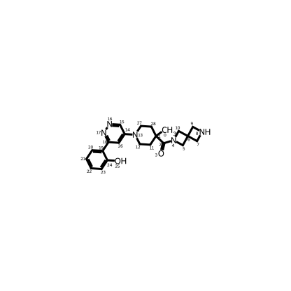 CC1(C(=O)N2CC3(CNC3)C2)CCN(c2cnnc(-c3ccccc3O)c2)CC1